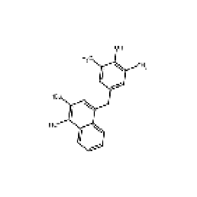 Cc1cc(Cc2cc(C(C)(C)C)c(O)c3ccccc23)cc(C)c1O